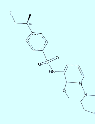 COC1C(NS(=O)(=O)c2ccc([C@H](C)CF)cc2)=CC=CN1N1CCNCC1